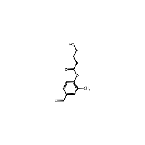 Cc1cc(C=O)ccc1OC(=O)CCCO